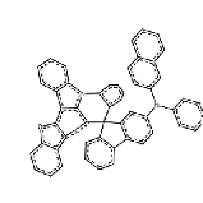 c1ccc(N(c2ccc3c(c2)C2(c4ccccc4-3)c3ccccc3-n3c4ccccc4c4c5oc6ccccc6c5cc2c43)c2ccc3ccccc3c2)cc1